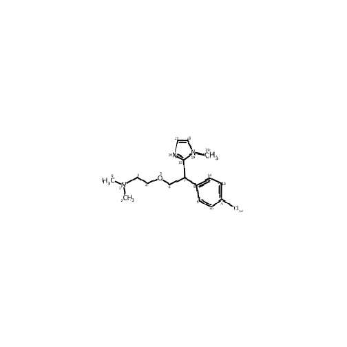 CN(C)CCOCC(c1ccc(Cl)cc1)c1nccn1C